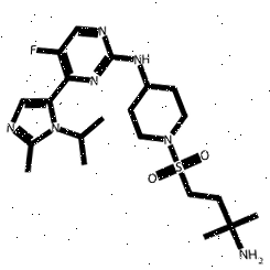 Cc1ncc(-c2nc(NC3CCN(S(=O)(=O)CCC(C)(C)N)CC3)ncc2F)n1C(C)C